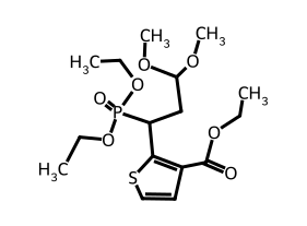 CCOC(=O)c1ccsc1C(CC(OC)OC)P(=O)(OCC)OCC